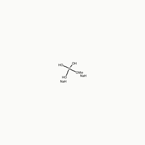 CO[Si](O)(O)O.[NaH].[NaH]